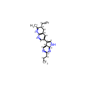 CC1=Nc2ncc(-c3c[nH]c4nc(CCC(F)(F)F)ncc34)cc2C[C@@H]1CC(C)C